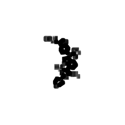 Cc1nc(N2CCOCC2)nc(C)c1-c1cccc2c1OC[C@H]2N(C(=O)C(F)(F)F)c1ccc2c(c1)OC[C@H]2CC(=O)O